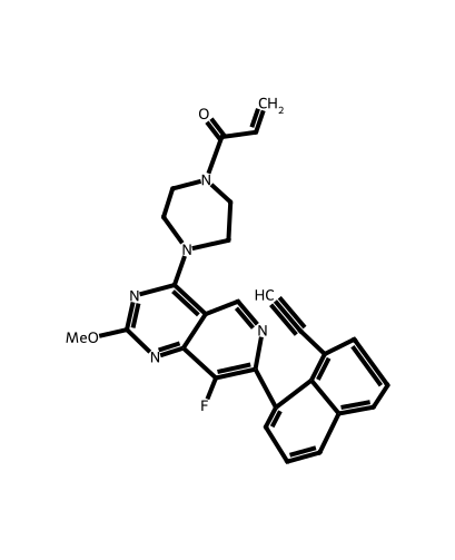 C#Cc1cccc2cccc(-c3ncc4c(N5CCN(C(=O)C=C)CC5)nc(OC)nc4c3F)c12